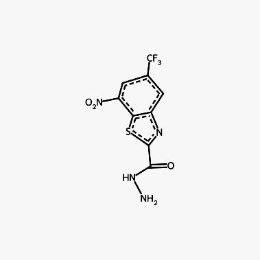 NNC(=O)c1nc2cc(C(F)(F)F)cc([N+](=O)[O-])c2s1